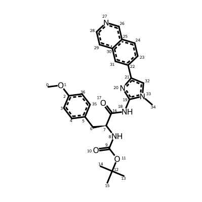 COc1ccc(C[C@H](NC(=O)OC(C)(C)C)C(=O)Nc2nc(-c3ccc4cnccc4c3)cn2C)cc1